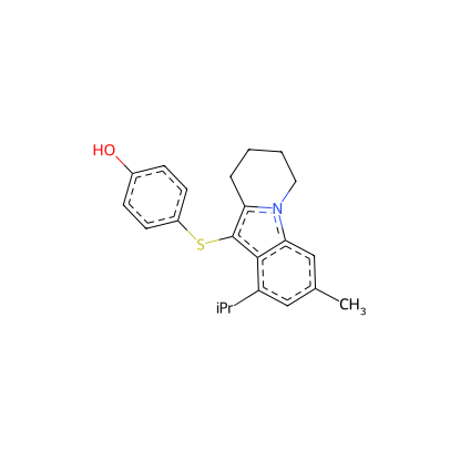 Cc1cc(C(C)C)c2c(Sc3ccc(O)cc3)c3n(c2c1)CCCC3